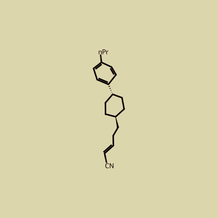 CCCc1ccc([C@H]2CC[C@H](CCC=CC#N)CC2)cc1